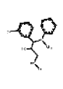 CCNCC(O)C(c1cccc(Cl)c1)N(C)c1ccccc1